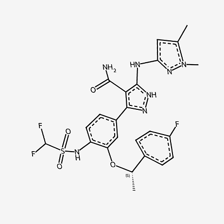 Cc1cc(Nc2[nH]nc(-c3ccc(NS(=O)(=O)C(F)F)c(O[C@@H](C)c4ccc(F)cc4)c3)c2C(N)=O)nn1C